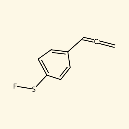 C=C=Cc1ccc(SF)cc1